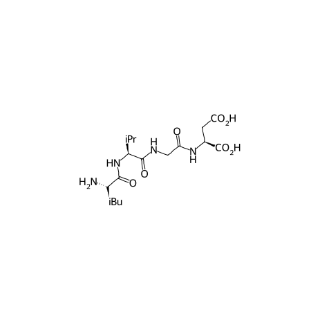 CC[C@H](C)[C@H](N)C(=O)N[C@H](C(=O)NCC(=O)N[C@@H](CC(=O)O)C(=O)O)C(C)C